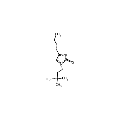 CCCCc1cn(CCC(C)(C)C)c(=O)[nH]1